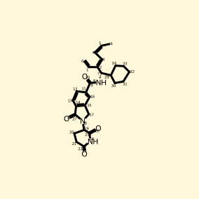 C=C/C(=C\C=C/C)[C@@H](NC(=O)c1ccc2c(c1)CN(C1CCC(=O)NC1=O)C2=O)C1CCCCC1